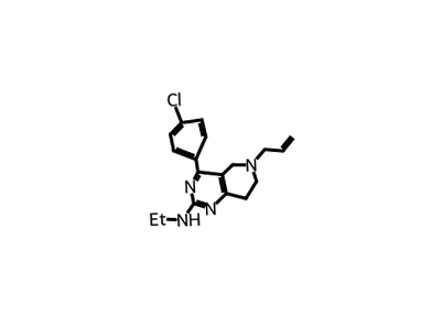 C=CCN1CCc2nc(NCC)nc(-c3ccc(Cl)cc3)c2C1